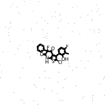 Cc1c(F)ccc(-c2c(Cl)sc3c2C(=O)C(F)(c2ccccc2)C(=O)N3)c1O